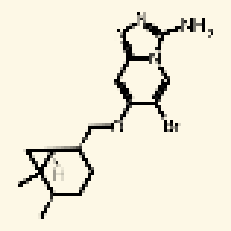 C[C@@H]1CC[C@H](COc2cc3nnc(N)n3cc2Br)[C@@H]2CC12C